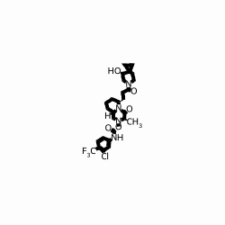 C[C@H]1C(=O)N2[C@@H](CCC(=O)N3CCC4(CC4)[C@H](O)C3)CCC[C@H]2CN1OC(=O)Nc1ccc(C(F)(F)F)c(Cl)c1